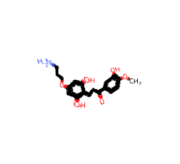 COc1ccc(C(=O)CCc2c(O)cc(OCCCN)cc2O)cc1O